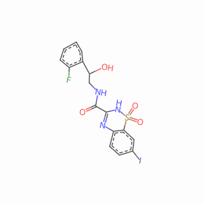 O=C(NCC(O)c1ccccc1F)C1=Nc2ccc(I)cc2S(=O)(=O)N1